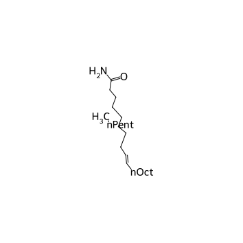 CCCCCC.CCCCCCCCC=CCCCCCCCC(N)=O